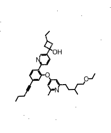 CCCC#Cc1ccc(-c2ccc(C3(O)CC(CC)C3)cn2)c(Oc2cc(C)nc(CCC(C)CCOCC)c2)c1